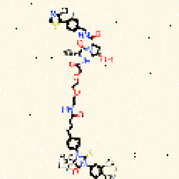 Cc1ncsc1-c1ccc(CNC(=O)[C@@H]2C[C@@H](O)CN2C(=O)[C@@H](NC(=O)COCCOCCNC(=O)CCCc2ccc(N3C(=S)N(c4ccc(C#N)c(C(F)(F)F)c4)C(=O)C3(C)C)cc2)C(C)(C)C)cc1